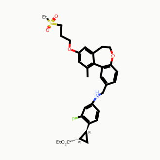 CCOC(=O)[C@H]1C[C@@H]1c1ccc(NCc2ccc3c(c2)-c2c(C)cc(OCCCS(=O)(=O)CC)cc2CCO3)cc1F